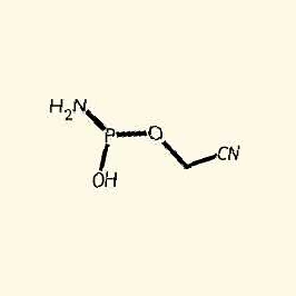 N#CCOP(N)O